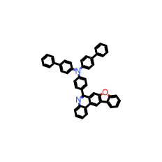 c1ccc(-c2ccc(N(c3ccc(-c4ccccc4)cc3)c3ccc(-c4nc5ccccc5c5cc6c(cc45)oc4ccccc46)cc3)cc2)cc1